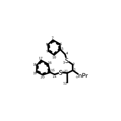 CCCC(CSCc1ccccc1)C(C)SCc1ccccc1